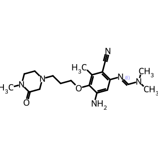 Cc1c(C#N)c(/N=C/N(C)C)cc(N)c1OCCCN1CCN(C)C(=O)C1